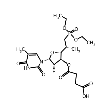 CCOP(=O)(C[C@H](C)[C@H]1O[C@@H](n2cc(C)c(=O)[nH]c2=O)[C@H](F)[C@@H]1OC(=O)CCC(=O)O)OCC